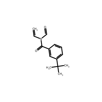 C=CN(C=O)C(=O)c1cccc(C(C)(C)C)c1